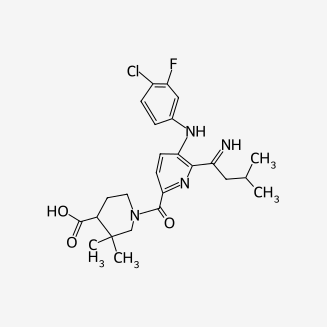 CC(C)CC(=N)c1nc(C(=O)N2CCC(C(=O)O)C(C)(C)C2)ccc1Nc1ccc(Cl)c(F)c1